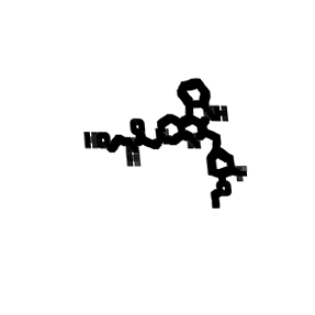 CCOc1ccc(Cc2nc3c(c4c2[nH]c2ccccc24)CCN(CC(=O)NCCO)C3)cc1F